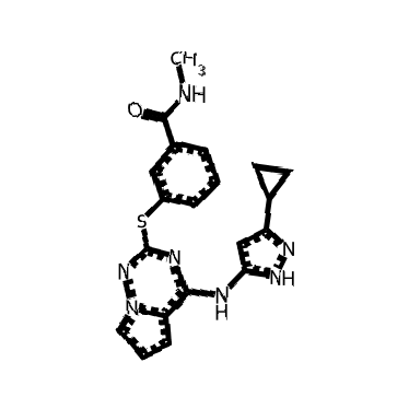 CNC(=O)c1cccc(Sc2nc(Nc3cc(C4CC4)n[nH]3)c3cccn3n2)c1